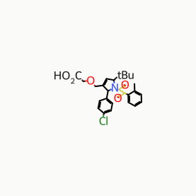 Cc1ccccc1S(=O)(=O)N1C(c2ccc(Cl)cc2)C(COCC(=O)O)=CC1C(C)(C)C